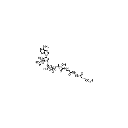 CC(C)(CO[P@@](=O)(O)O[P@](=O)(O)OC[C@@H]1O[C@@H](n2cnc3c(N)ncnc32)[C@H](O)[C@H]1OP(=O)(O)O)[C@@H](O)C(=O)NCCC(=O)NCCNC(=O)CCC(=O)O